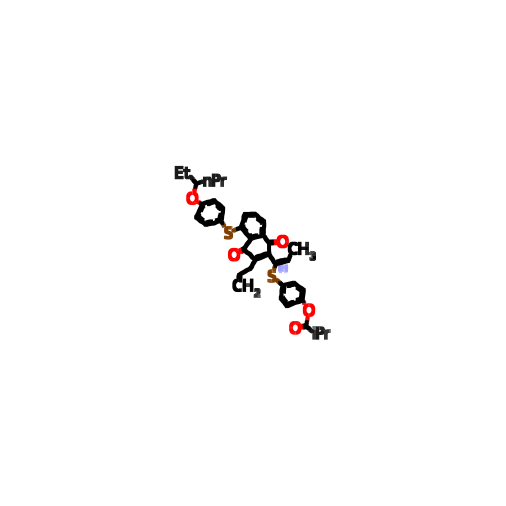 C=CCC1=C(/C(=C\C)Sc2ccc(OC(=O)C(C)C)cc2)C(=O)c2cccc(Sc3ccc(OC(CC)CCC)cc3)c2C1=O